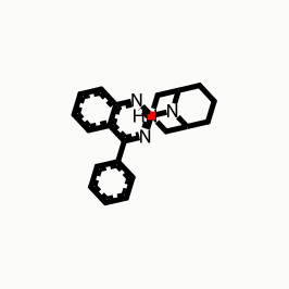 c1ccc(-c2nc(N3C4CCCC3CNC4)nc3ccccc23)cc1